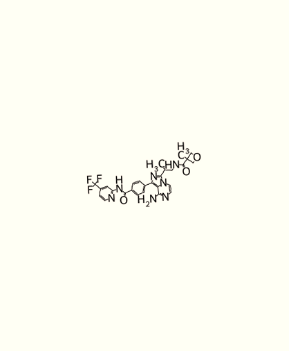 C[C@@H](CNC(=O)C1(C)COC1)c1nc(-c2ccc(C(=O)Nc3cc(C(F)(F)F)ccn3)cc2)c2c(N)nccn12